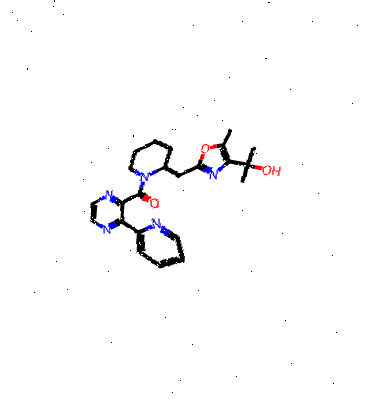 Cc1oc(CC2CCCCN2C(=O)c2nccnc2-c2ccccn2)nc1C(C)(C)O